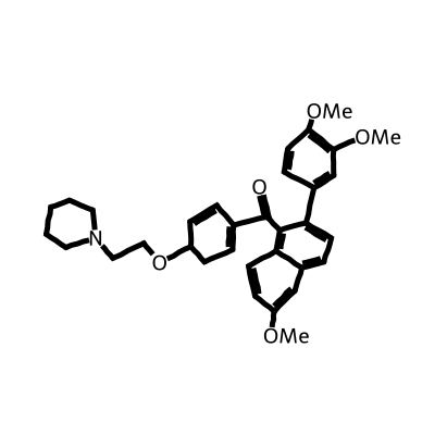 COc1ccc2c(C(=O)C3=CCC(OCCN4CCCCC4)C=C3)c(-c3ccc(OC)c(OC)c3)ccc2c1